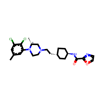 Cc1cc(Cl)c(Cl)c(N2CCN(CC[C@H]3CC[C@H](NC(=O)c4ncco4)CC3)C[C@H]2C)c1